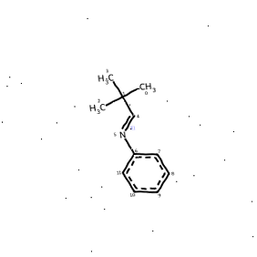 CC(C)(C)/C=N/c1ccccc1